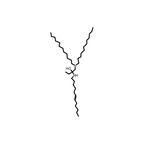 CCCCCC=CCCCCCNC(O)(CC)CN(CCCCCCCCCCCC)CCCCCCCCCCCC